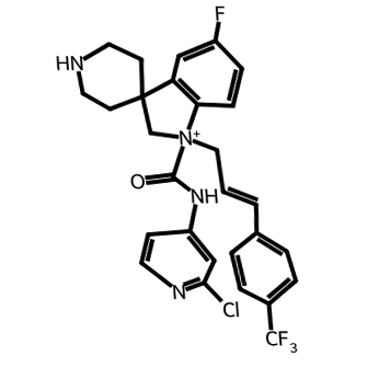 O=C(Nc1ccnc(Cl)c1)[N+]1(C/C=C/c2ccc(C(F)(F)F)cc2)CC2(CCNCC2)c2cc(F)ccc21